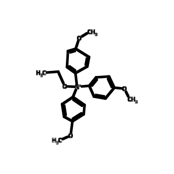 CCO[N+](c1ccc(OC)cc1)(c1ccc(OC)cc1)c1ccc(OC)cc1